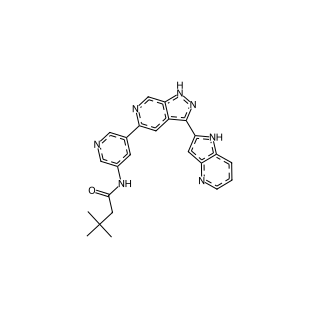 CC(C)(C)CC(=O)Nc1cncc(-c2cc3c(-c4cc5ncccc5[nH]4)n[nH]c3cn2)c1